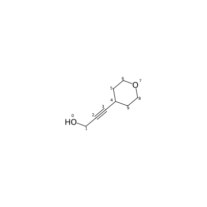 OCC#CC1CCOCC1